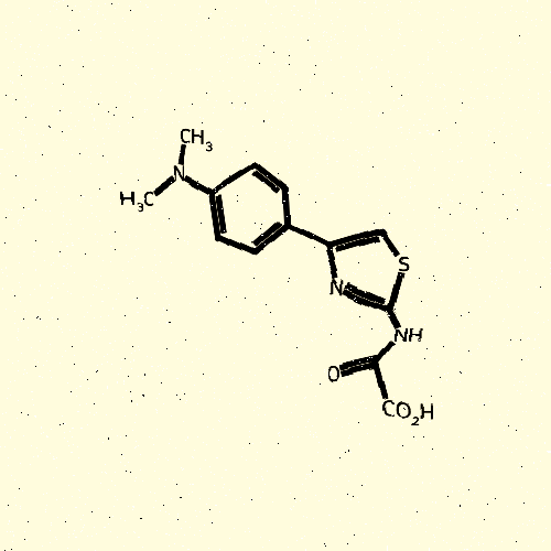 CN(C)c1ccc(-c2csc(NC(=O)C(=O)O)n2)cc1